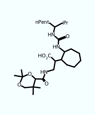 CCCCCC(NC(=O)NC1CCCCCC1C(CNC(=O)C1OC(C)(C)OCC1(C)C)C(=O)O)C(C)C